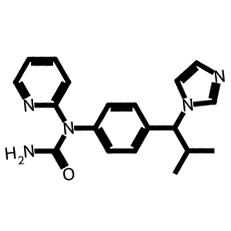 CC(C)C(c1ccc(N(C(N)=O)c2ccccn2)cc1)n1ccnc1